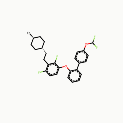 CC[C@H]1CC[C@H](CCc2c(F)c[c]c(Oc3ccccc3-c3ccc(OC(F)F)cc3)c2F)CC1